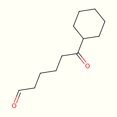 O=CCCCCC(=O)C1CCCCC1